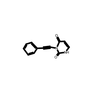 O=c1cc[nH]c(=O)n1C#Cc1ccccc1